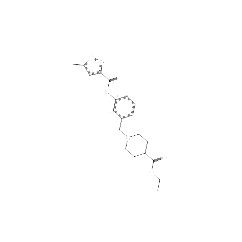 CCOC(=O)C1CCN(Cc2cccc(NC(=O)c3cc(C)on3)c2)CC1